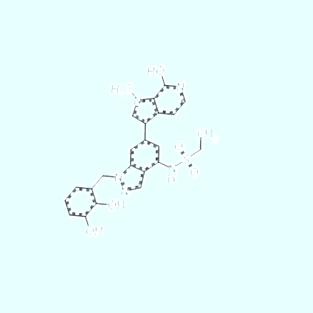 CCS(=O)(=O)Nc1cc(-c2cn(C)c3c(O)nccc23)cc2c1cnn2Cc1cccc(O)c1O